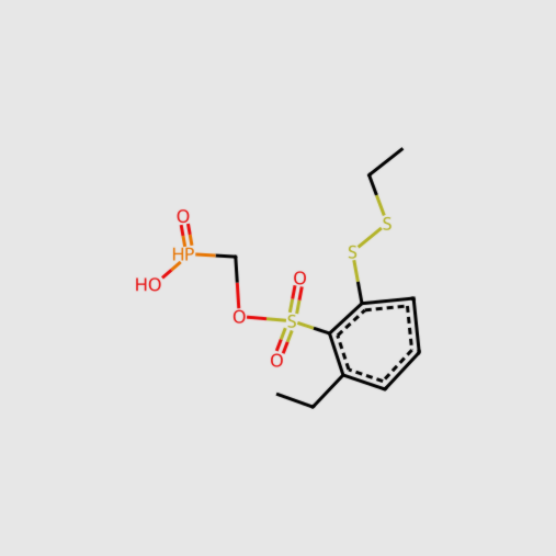 CCSSc1cccc(CC)c1S(=O)(=O)OC[PH](=O)O